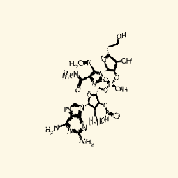 C=Nc1c(C(=O)NC)ncn1[C@@H]1O[C@H](CCO)[C@@H](O)[C@H]1OP(=O)(O)OC[C@H]1O[C@@H](n2cnc3c(N)nc(N)nc32)[C@H](O)[C@@H]1O[PH](=O)O